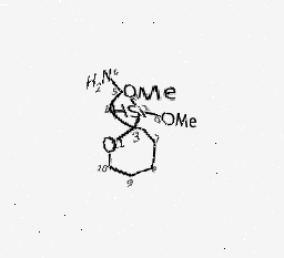 CO[SiH](OC)C1(CCN)CCCCO1